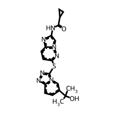 CC(C)(O)c1ccc2nnc(Sc3ccc4nc(NC(=O)C5CC5)cn4n3)n2c1